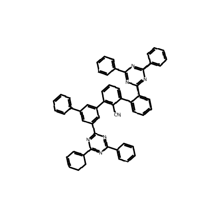 N#Cc1c(-c2cc(-c3ccccc3)cc(-c3nc(C4=CC=CCC4)nc(-c4ccccc4)n3)c2)cccc1-c1ccccc1-c1nc(-c2ccccc2)nc(-c2ccccc2)n1